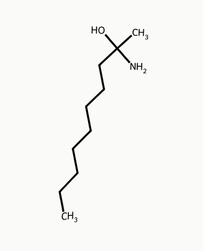 CCCCCCCCC(C)(N)O